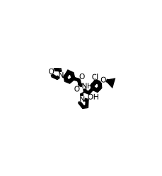 O=C(N[C@H](CN1CCCC1)[C@H](O)c1ccc(OC2CC2)c(Cl)c1)C(=O)c1ccc(N2CCOCC2)cc1